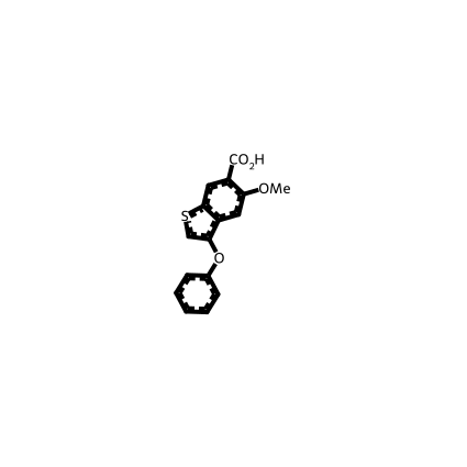 COc1cc2c(Oc3ccccc3)csc2cc1C(=O)O